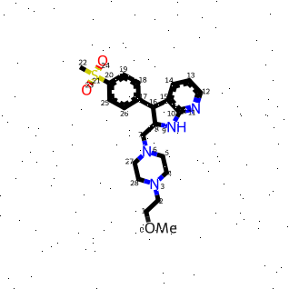 COCCN1CCN(CC2Nc3ncccc3C2c2ccc(S(C)(=O)=O)cc2)CC1